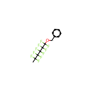 CC(F)(F)C(F)(F)C(F)(F)C(F)(F)C(F)(F)O[CH]c1ccccc1